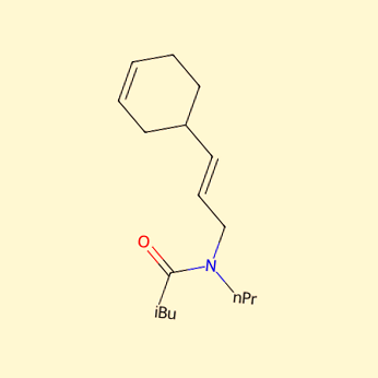 CCCN(C/C=C/C1CC=CCC1)C(=O)C(C)CC